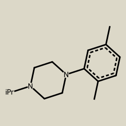 Cc1ccc(C)c(N2CCN(C(C)C)CC2)c1